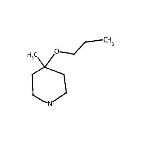 CCCOC1(C)CC[N]CC1